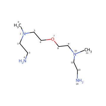 CN(CCN)CCOCCN(C)CCN